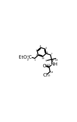 CCOC(=O)Cc1cccc(CC(C)(C)NC(=O)CCl)c1